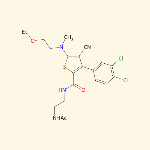 CCOCCN(C)c1sc(C(=O)NCCNC(C)=O)c(-c2ccc(Cl)c(Cl)c2)c1C#N